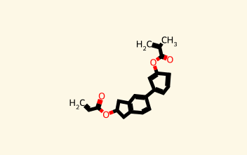 C=CC(=O)OC1Cc2ccc(-c3cccc(OC(=O)C(=C)C)c3)cc2C1